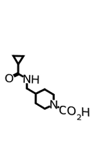 O=C(NCC1CCN(C(=O)O)CC1)C1CC1